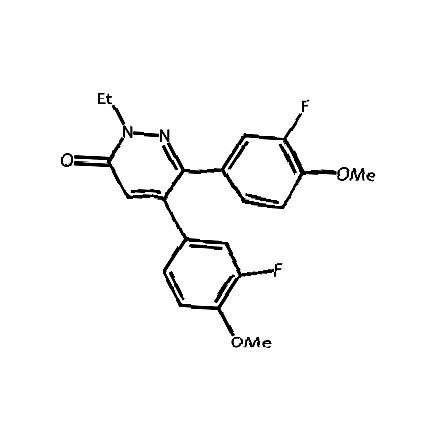 CCn1nc(-c2ccc(OC)c(F)c2)c(-c2ccc(OC)c(F)c2)cc1=O